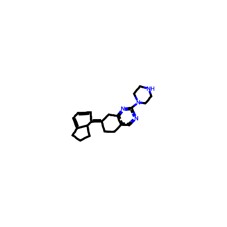 C1=CC(=C2CCc3cnc(N4CCNCC4)nc3C2)C2CCCC2=C1